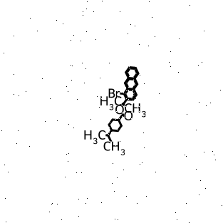 CCC(C)C1CCC(C(=O)OC(C)(C)c2ccc3cc4ccccc4cc3c2Br)CC1